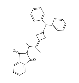 CC(=C1CN(C(c2ccccc2)c2ccccc2)C1)C(C)N1C(=O)c2ccccc2C1=O